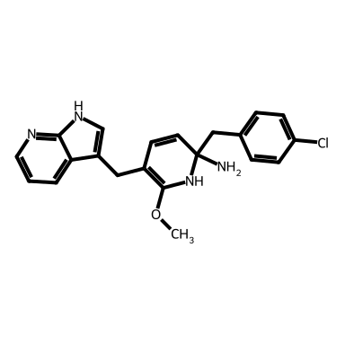 COC1=C(Cc2c[nH]c3ncccc23)C=CC(N)(Cc2ccc(Cl)cc2)N1